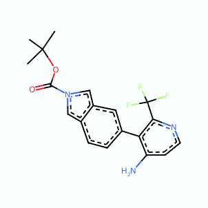 CC(C)(C)OC(=O)n1cc2ccc(-c3c(N)ccnc3C(F)(F)F)cc2c1